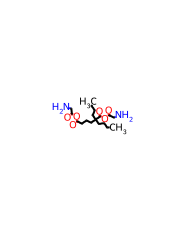 CCCCC(CCCC)(CCCC(=O)OC(=O)CN)C(=O)OC(=O)CN